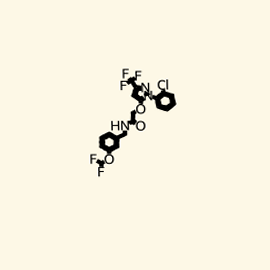 O=C(COc1cc(C(F)(F)F)nn1-c1ccccc1Cl)NCc1cccc(OC(F)F)c1